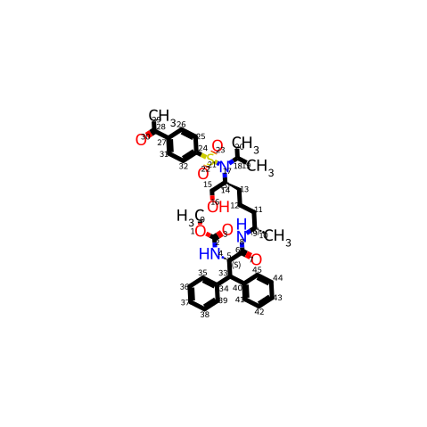 COC(=O)N[C@H](C(=O)N[C@@H](C)CCC[C@@H](CO)N(C(C)C)S(=O)(=O)c1ccc(C(C)=O)cc1)C(c1ccccc1)c1ccccc1